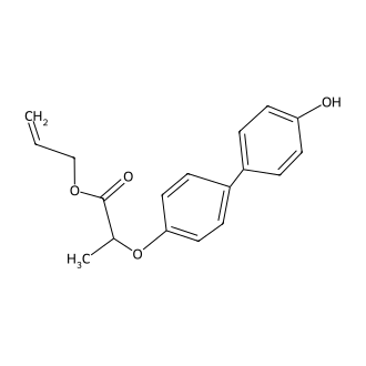 C=CCOC(=O)C(C)Oc1ccc(-c2ccc(O)cc2)cc1